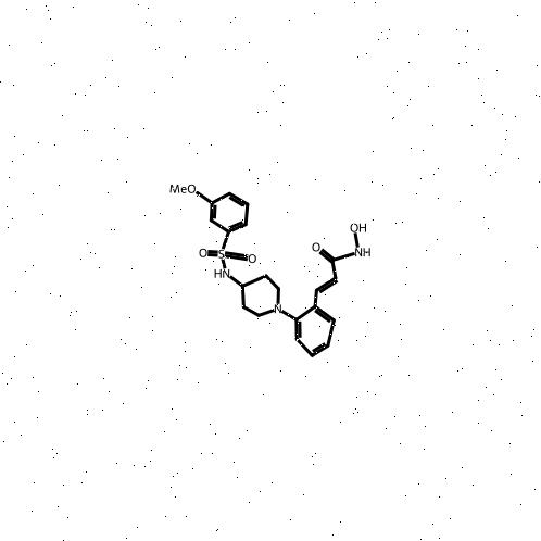 COc1cccc(S(=O)(=O)NC2CCN(c3ccccc3/C=C/C(=O)NO)CC2)c1